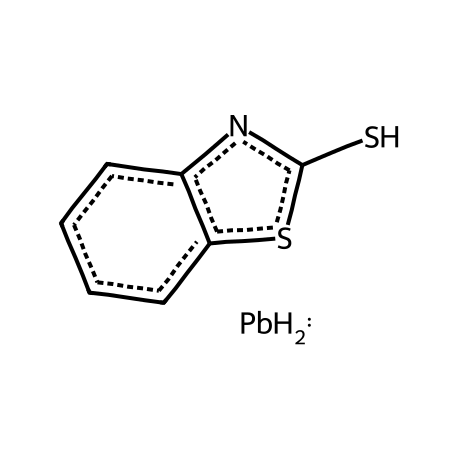 Sc1nc2ccccc2s1.[PbH2]